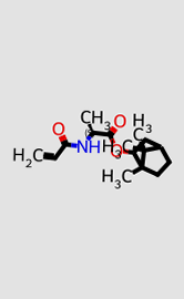 C=CC(=O)N[C@@H](C)C(=O)OC1CC2CCC1(C)C2(C)C